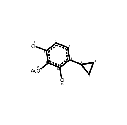 CC(=O)Oc1c(Cl)ccc(C2CC2)c1Cl